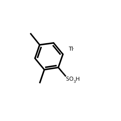 Cc1ccc(S(=O)(=O)O)c(C)c1.[Tl]